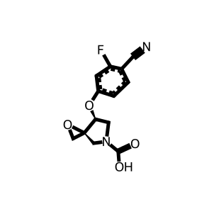 N#Cc1ccc(O[C@H]2CN(C(=O)O)C[C@]23CO3)cc1F